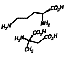 C[C@](N)(CC(=O)O)C(=O)O.NCCC[C@H](N)C(=O)O